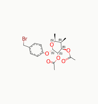 CC(=O)O[C@@H]1[C@H](Oc2ccc(CBr)cc2)O[C@@H](C)[C@@H](C)[C@H]1OC(C)=O